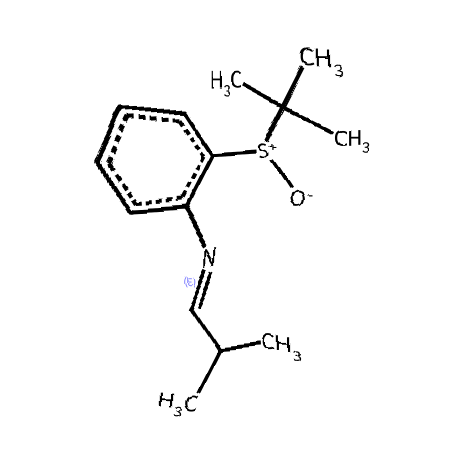 CC(C)/C=N/c1ccccc1[S+]([O-])C(C)(C)C